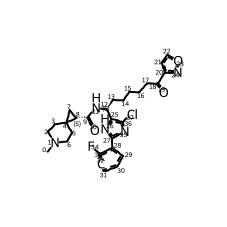 CN1CCC2(CC1)C[C@@H]2C(=O)N[C@@H](CCCCCC(=O)c1ccon1)c1[nH]c(-c2ccccc2F)nc1Cl